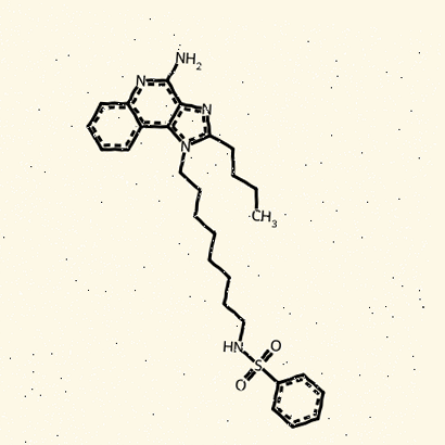 CCCCc1nc2c(N)nc3ccccc3c2n1CCCCCCCCNS(=O)(=O)c1ccccc1